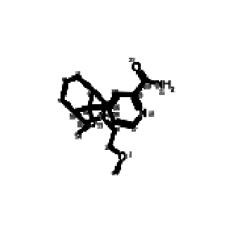 COCCN1CC2CCCC(C1)C2(OC)c1ccnc(C(N)=O)c1